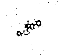 CC1(C)[C@H]2CC[C@]1([C@H]1CN(c3ccccn3)CCO1)c1nnc(-c3c(F)cccc3F)cc12